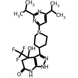 CC(C)c1cc(N2CCC(c3n[nH]c4c3C(O)(C(F)(F)F)CC(=O)N4)CC2)nc(C(C)C)n1